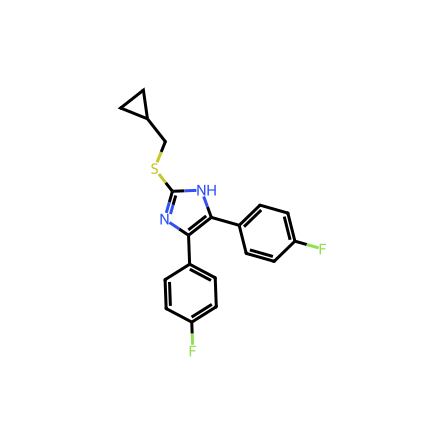 Fc1ccc(-c2nc(SCC3CC3)[nH]c2-c2ccc(F)cc2)cc1